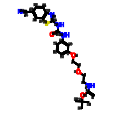 C=C(NCCOCCOc1cccc(NC(=O)Nc2nc3ccc(C#N)cc3s2)c1)OC(C)(C)C